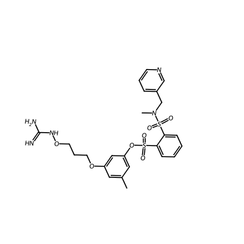 Cc1cc(OCCCONC(=N)N)cc(OS(=O)(=O)c2ccccc2S(=O)(=O)N(C)Cc2cccnc2)c1